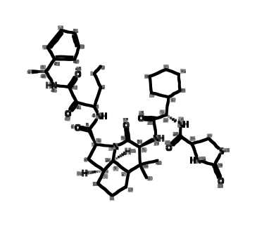 CCCC(NC(=O)[C@@H]1C[C@@H]2CCCC3[C@@H]2N1C(=O)[C@@H](NC(=O)[C@@H](NC(=O)C1CSC(=O)N1)C1CCCCC1)C3(C)C)C(=O)C(=O)N[C@@H](C)c1ccccc1